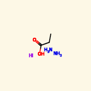 CCC(=O)O.I.N.N